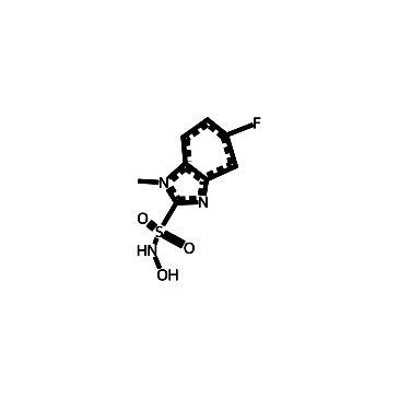 Cn1c(S(=O)(=O)NO)nc2cc(F)ccc21